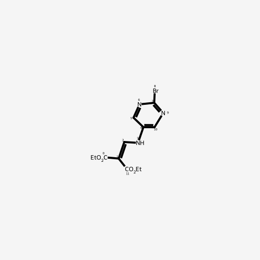 CCOC(=O)C(=CNc1cnc(Br)nc1)C(=O)OCC